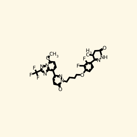 COc1ccc(-c2ccc(=O)n(CCCCOc3ccc(C4=NNC(=O)CC4C)c(F)c3F)n2)c2nc(C(F)(F)F)nn12